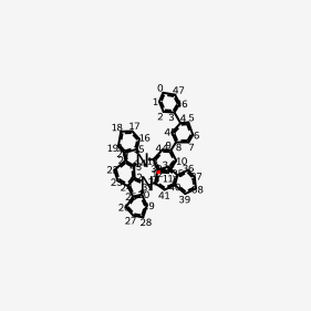 c1ccc(-c2cccc(-c3cccc(-n4c5ccccc5c5ccc6c7ccccc7n(-c7ccc8ccccc8c7)c6c54)c3)c2)cc1